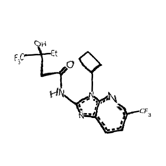 CCC(O)(CC(=O)Nc1nc2ccc(C(F)(F)F)nc2n1C1CCC1)C(F)(F)F